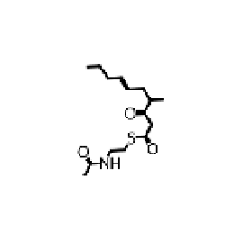 CCC/C=C/CC(C)C(=O)CC(=O)SCCNC(C)=O